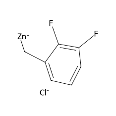 Fc1cccc([CH2][Zn+])c1F.[Cl-]